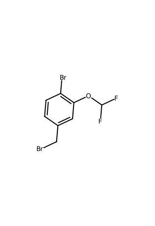 FC(F)Oc1cc(CBr)ccc1Br